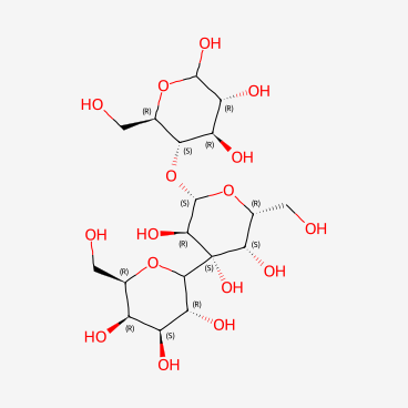 OC[C@H]1OC([C@@]2(O)[C@@H](O)[C@H](O[C@H]3[C@H](O)[C@@H](O)C(O)O[C@@H]3CO)O[C@H](CO)[C@@H]2O)[C@H](O)[C@@H](O)[C@H]1O